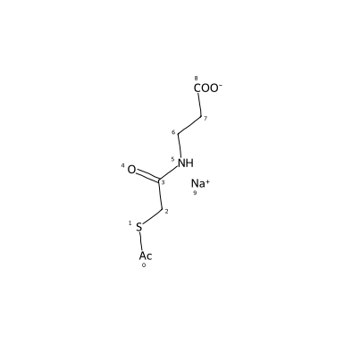 CC(=O)SCC(=O)NCCC(=O)[O-].[Na+]